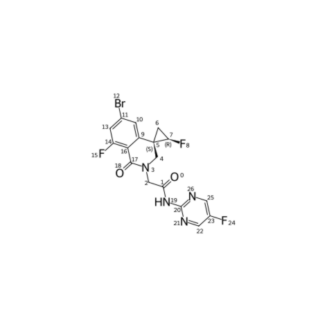 O=C(CN1C[C@]2(C[C@H]2F)c2cc(Br)cc(F)c2C1=O)Nc1ncc(F)cn1